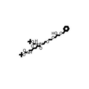 CC(C)(C)OC(=O)NCCCCC(NC(=O)OC(C)(C)C)C(=O)NCCOCCOCC(O)COCc1ccccc1